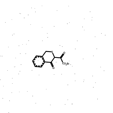 CCOC(=O)C(=O)C1SCc2ccccc2C1=O